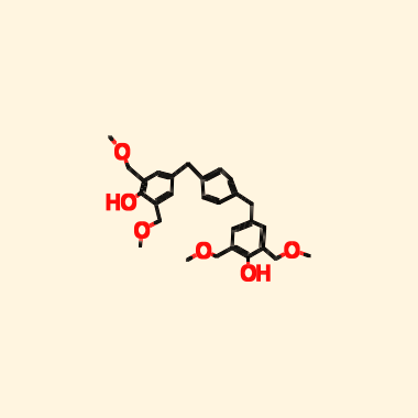 COCc1cc(Cc2ccc(Cc3cc(COC)c(O)c(COC)c3)cc2)cc(COC)c1O